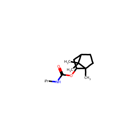 CC(C)NC(=O)OC1CC2CCC1(C)C2(C)C